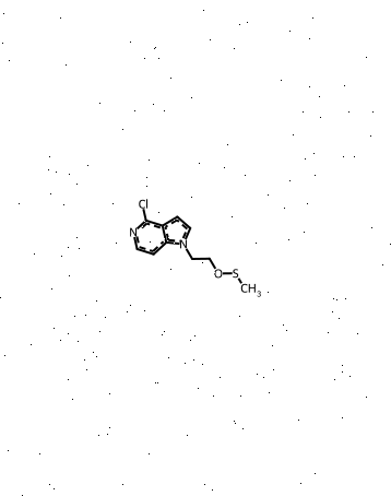 CSOCCn1ccc2c(Cl)nccc21